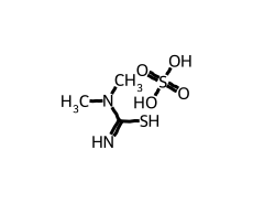 CN(C)C(=N)S.O=S(=O)(O)O